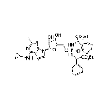 CCOC(=O)[C@@H](NP(=O)(N[C@H](C(=O)OCC)c1ccccc1)OC[C@H]1O[C@@H](n2cnc3c(NC4CC4)nc(C)nc32)[C@@](C)(O)C1O)c1ccccc1